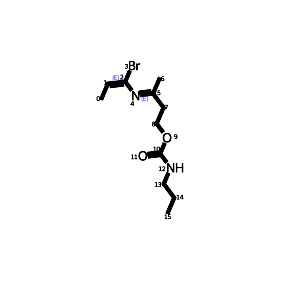 C/C=C(Br)\N=C(/C)CCOC(=O)NCCC